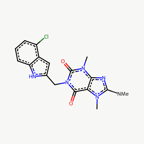 CNc1nc2c(c(=O)n(Cc3cc4c(Cl)cccc4[nH]3)c(=O)n2C)n1C